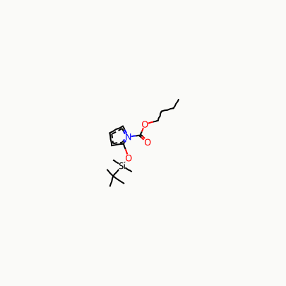 CCCCOC(=O)n1cccc1O[Si](C)(C)C(C)(C)C